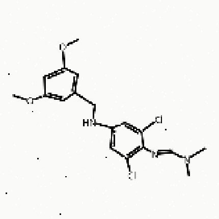 COc1cc(CNc2cc(Cl)c(N=CN(C)C)c(Cl)c2)cc(OC)c1